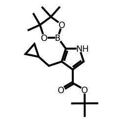 CC(C)(C)OC(=O)c1c[nH]c(B2OC(C)(C)C(C)(C)O2)c1CC1CC1